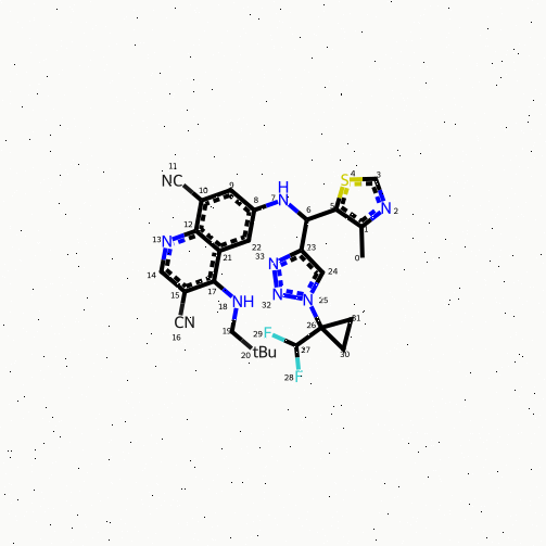 Cc1ncsc1C(Nc1cc(C#N)c2ncc(C#N)c(NCC(C)(C)C)c2c1)c1cn(C2(C(F)F)CC2)nn1